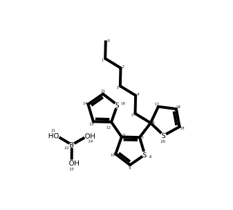 CCCCCCC1(c2sccc2-c2cccs2)CC=CS1.OB(O)O